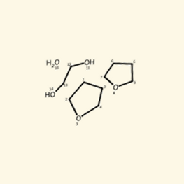 C1CCOC1.C1CCOC1.O.OCCO